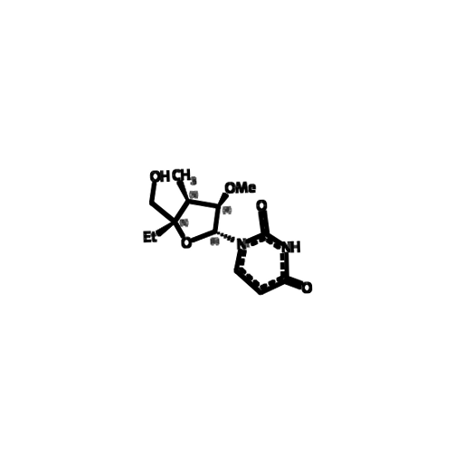 CC[C@]1(CO)O[C@@H](n2ccc(=O)[nH]c2=O)[C@H](OC)[C@@H]1C